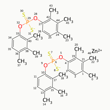 Cc1ccc(OP(=S)([S-])Oc2ccc(C)c(C)c2C)c(C)c1C.Cc1ccc(OP(=S)([S-])Oc2ccc(C)c(C)c2C)c(C)c1C.[Zn+2]